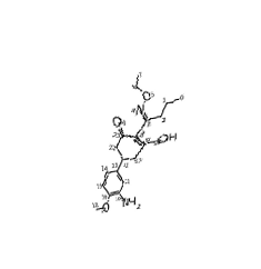 CCCC(=NOCC)C1=C(O)CC(c2ccc(OC)c(N)c2)CC1=O